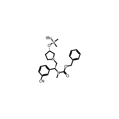 CN(C(=O)OCc1ccccc1)[C@H](CN1CC[C@H](O[Si](C)(C)C(C)(C)C)C1)c1cccc(C#N)c1